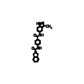 Cc1n[nH]c2ccc(NC(=O)c3ccc(NC(=O)N4Cc5ccccc5C4)cc3)cc12